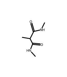 CNC(=O)C(C)C(=O)NC